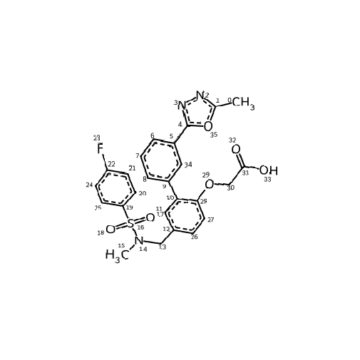 Cc1nnc(-c2cccc(-c3cc(CN(C)S(=O)(=O)c4ccc(F)cc4)ccc3OCC(=O)O)c2)o1